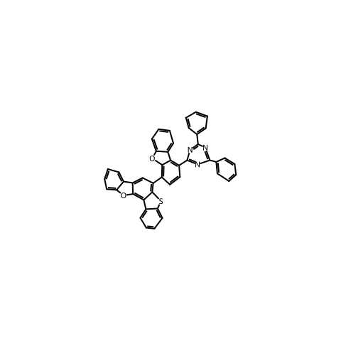 c1ccc(-c2nc(-c3ccccc3)nc(-c3ccc(-c4cc5c6ccccc6oc5c5c4sc4ccccc45)c4oc5ccccc5c34)n2)cc1